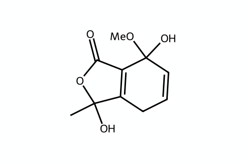 COC1(O)C=CCC2=C1C(=O)OC2(C)O